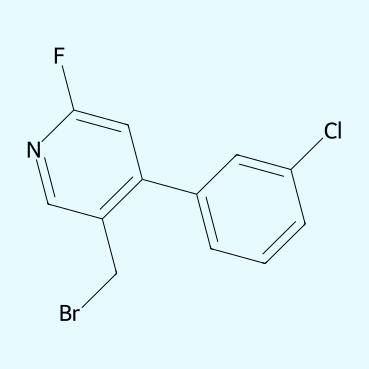 Fc1cc(-c2cccc(Cl)c2)c(CBr)cn1